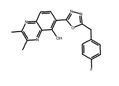 Cc1nc2ccc(-c3nnc(Cc4ccc(F)cc4)o3)c(O)c2nc1C